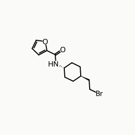 O=C(N[C@H]1CC[C@H](CCBr)CC1)c1ccco1